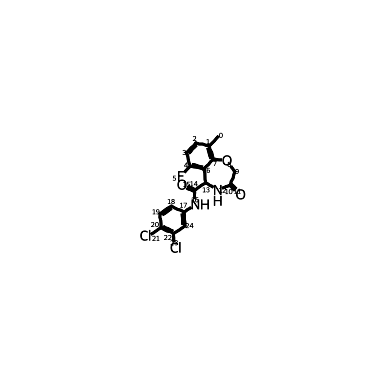 Cc1ccc(F)c2c1OCC(=O)NC2C(=O)Nc1ccc(Cl)c(Cl)c1